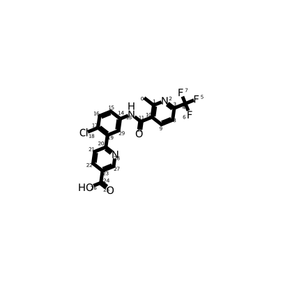 Cc1nc(C(F)(F)F)ccc1C(=O)Nc1ccc(Cl)c(-c2ccc(C(=O)O)cn2)c1